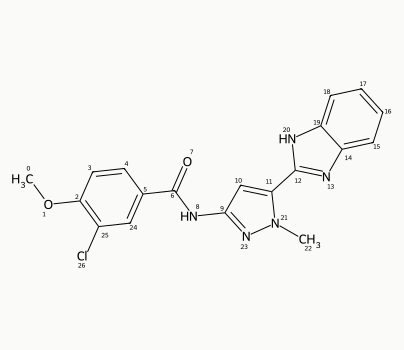 COc1ccc(C(=O)Nc2cc(-c3nc4ccccc4[nH]3)n(C)n2)cc1Cl